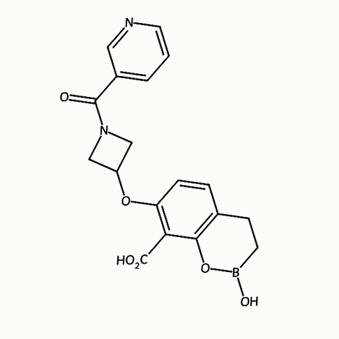 O=C(O)c1c(OC2CN(C(=O)c3cccnc3)C2)ccc2c1OB(O)CC2